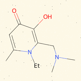 CCn1c(C)cc(=O)c(O)c1CN(C)C